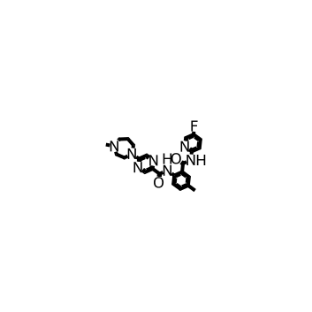 Cc1ccc(NC(=O)c2cnc(N3CCCN(C)CC3)cn2)c(C(=O)Nc2ccc(F)cn2)c1